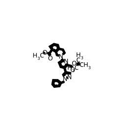 COC(=O)c1cccc2c1CN(c1ccc(-c3cnn(Cc4ccccc4)c3)c(C(=O)OC(C)(C)C)n1)CC2